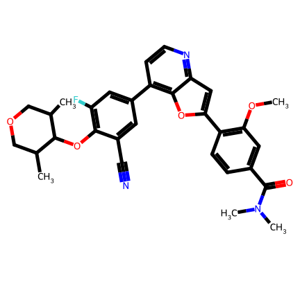 COc1cc(C(=O)N(C)C)ccc1-c1cc2nccc(-c3cc(F)c(OC4C(C)COCC4C)c(C#N)c3)c2o1